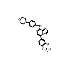 O=C(O)c1ccc(-c2cnc(Nc3ccc(N4CCOCC4)cc3)c3nccn23)cc1F